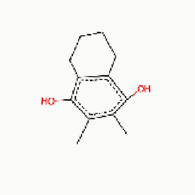 Cc1c(C)c(O)c2c(c1O)CCCC2